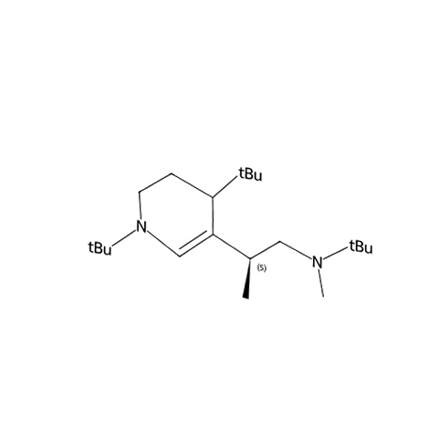 C[C@H](CN(C)C(C)(C)C)C1=CN(C(C)(C)C)CCC1C(C)(C)C